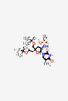 Cc1cn([C@@H]2O[C@](CCOC(C)(C)C)(COC(C)(C)C)C[C@H]2NS(C)(=O)=O)c(=O)[nH]c1=O